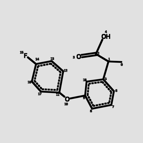 CC(C(=O)O)c1cccc(Oc2ccc(F)cc2)c1